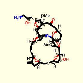 C=C1C[C@@H]2CC[C@@H]3C[C@@H](O)[C@H](O3)C3O[C@H]4CC[C@@H]5CC(=O)C[C@@H]6[C@@H](OC)[C@@H](C[C@H](O)CN)O[C@H]6C[C@H]6O[C@H](CC/C6=N/[C@@]4(O5)[C@H](OC)[C@@H]3C)CC[C@@H]1O2